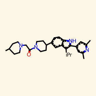 Cc1cc(-c2[nH]c3ccc(C4CCN(C(=O)CN5CCC(C)CC5)CC4)cc3c2C(C)C)cc(C)n1